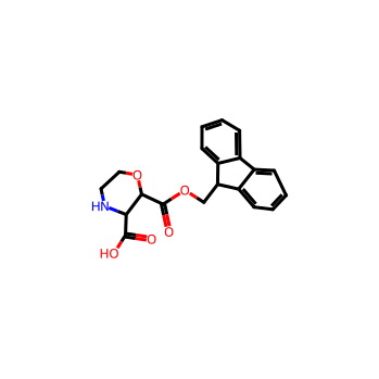 O=C(O)C1NCCOC1C(=O)OCC1c2ccccc2-c2ccccc21